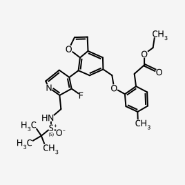 CCOC(=O)Cc1ccc(C)cc1OCc1cc(-c2ccnc(CN[S@+]([O-])C(C)(C)C)c2F)c2occc2c1